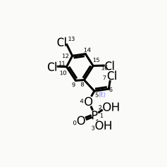 O=P(O)(O)O/C(=C/Cl)c1cc(Cl)c(Cl)cc1Cl